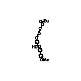 CCC(C)C(=O)OCCOCCOCCOc1ccc(C(O)Oc2ccc(-c3ccc(OC)cc3)cc2)cc1